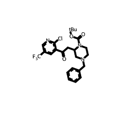 CC(C)(C)OC(=O)N1CCN(Cc2ccccc2)CC1CC(=O)c1cc(C(F)(F)F)cnc1Cl